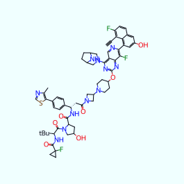 C#Cc1c(F)ccc2cc(O)cc(-c3ncc4c(N5CC6CCC(C5)N6)nc(OC5CCN(C6CN(C(=O)C[C@H](NC(=O)C7CC(O)CN7C(=O)C(NC(=O)C7(F)CC7)C(C)(C)C)c7ccc(-c8scnc8C)cc7)C6)CC5)nc4c3F)c12